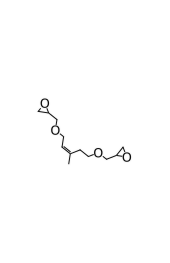 CC(=CCOCC1CO1)CCOCC1CO1